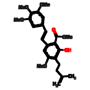 C=C(C)CCc1c(OC)cc(C=Cc2cc(OC)c(OC)c(OC)c2)c(C(=O)OC)c1O